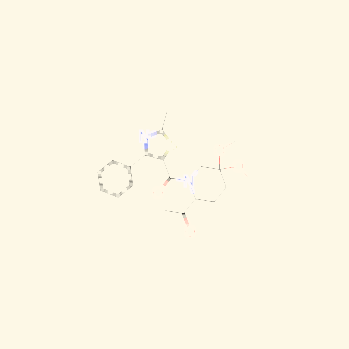 COC1(OC)CCC(C(C)=O)N(C(=O)c2sc(C)nc2-c2ccccc2)C1